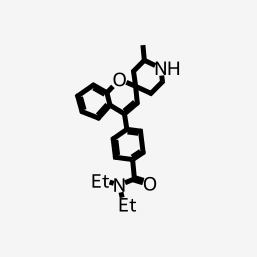 CCN(CC)C(=O)c1ccc(C2=CC3(CCNC(C)C3)Oc3ccccc32)cc1